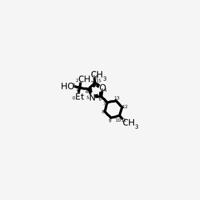 CCC(C)(O)c1nc(C2CCC(C)CC2)oc1C